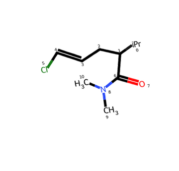 CC(C)C(CC=CCl)C(=O)N(C)C